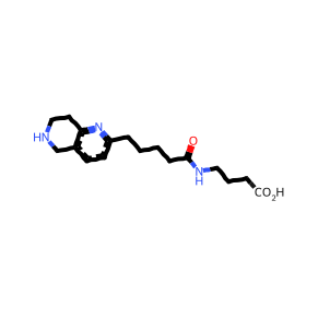 O=C(O)CCCNC(=O)CCCCc1ccc2c(n1)CCNC2